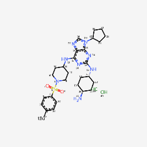 CC(C)(C)c1ccc(S(=O)(=O)N2CCC(Nc3nc(N[C@H]4CC[C@H](N)CC4)nc4c3ncn4C3CCCC3)CC2)cc1.Cl.Cl